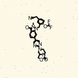 Cn1c(=O)c2ccc(-c3cnc(N4CCN5C(=O)OCC5C4)nc3)cc2n1Cc1cc(CC#N)ccc1OC(F)F